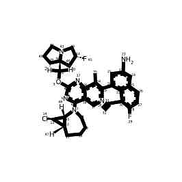 [2H]C([2H])(Oc1nc(N2CCCC[C@@H]3[C@@H](Cl)[C@@H]32)c2cnc(-c3cc(N)cc4ccc(F)c(C#C)c34)c(C)c2n1)[C@@]12CCCN1C[C@H](F)C2